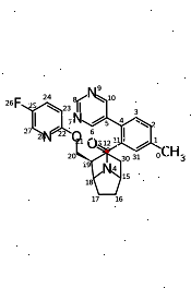 Cc1ccc(-c2cncnc2)c(C(=O)N2C3CCC2[C@@H](COc2ccc(F)cn2)CC3)c1